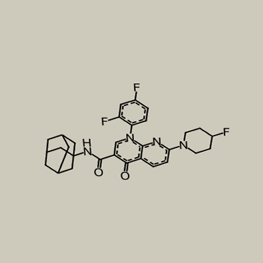 O=C(NC12CC3CC(CC(C3)C1)C2)c1cn(-c2ccc(F)cc2F)c2nc(N3CCC(F)CC3)ccc2c1=O